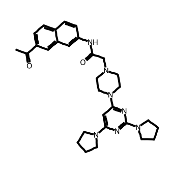 CC(=O)c1ccc2ccc(NC(=O)CN3CCN(c4cc(N5CCCC5)nc(N5CCCC5)n4)CC3)cc2c1